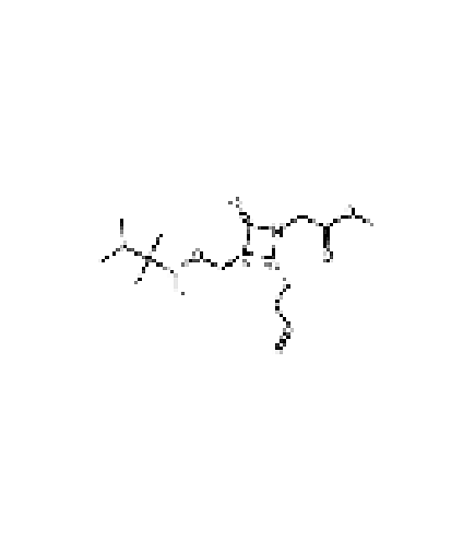 C=CCS[C@@H]1[C@@H](CO[SiH2]C(C)(C)C(C)C)C(=O)N1CC(=O)OC